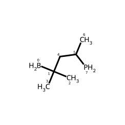 BC(C)(C)CC(C)P